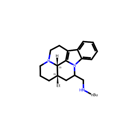 CCCCNCC1C[C@]2(CC)CCCN3CCc4c(n1c1ccccc41)[C@@H]32